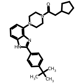 CC(C)(C)c1ccc(-c2nc3c(N4CCN(C(=O)CC5CCCC5)CC4)cccc3[nH]2)cc1